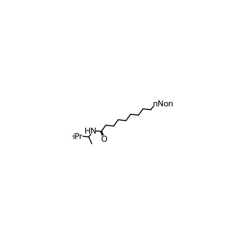 CCCCCCCCCCCCCCCCCC(=O)NC(C)[C](C)C